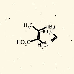 C=CC(=O)O.CCCCC(C)=C(C)C(=O)O